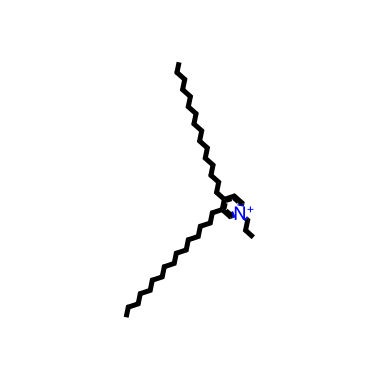 CCCCCCCCCCCCCCCCc1cc[n+](CCC)cc1CCCCCCCCCCCCCCCC